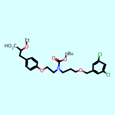 CCCCOC(=O)N(CCCOCc1cc(Cl)cc(Cl)c1)CCOc1ccc(CC(OCC)C(=O)O)cc1